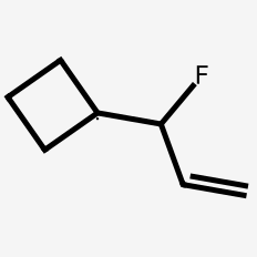 C=CC(F)[C]1CCC1